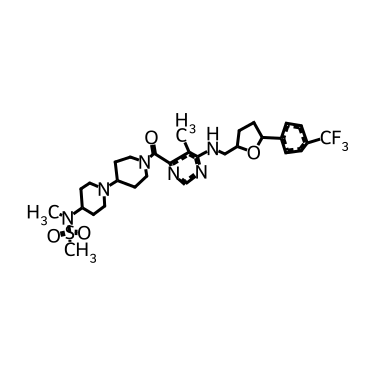 Cc1c(NCC2CCC(c3ccc(C(F)(F)F)cc3)O2)ncnc1C(=O)N1CCC(N2CCC(N(C)S(C)(=O)=O)CC2)CC1